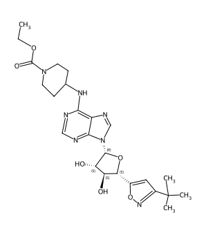 CCOC(=O)N1CCC(Nc2ncnc3c2ncn3[C@@H]2O[C@H](c3cc(C(C)(C)C)no3)[C@@H](O)[C@@H]2O)CC1